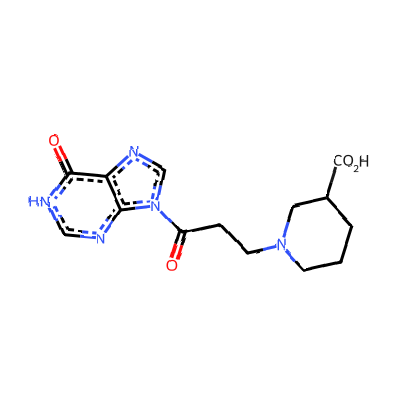 O=C(O)C1CCCN(CCC(=O)n2cnc3c(=O)[nH]cnc32)C1